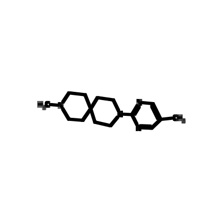 Cc1cnc(N2CCC3(CCN(C)CC3)CC2)nc1